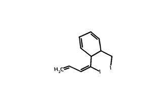 C=C/C=C(/I)C1C=CC=CC1CI